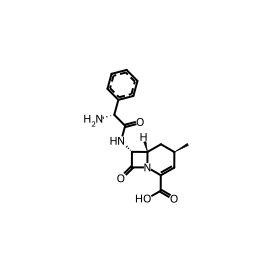 C[C@H]1C=C(C(=O)O)N2C(=O)[C@H](NC(=O)[C@H](N)c3ccccc3)[C@@H]2C1